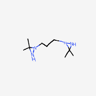 CC1(C)NN1CCCN1NC1(C)C